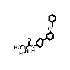 CCN[C@@H](CO)C(=O)Nc1ccc(-c2cccc(OCc3ccccc3)c2)cc1